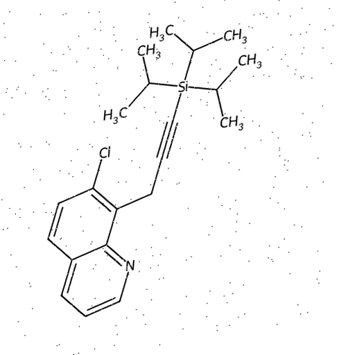 CC(C)[Si](C#CCc1c(Cl)ccc2cccnc12)(C(C)C)C(C)C